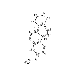 [O]Cc1ccc2c(ccc3c4c(ccc32)CCCC4)c1